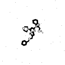 CCc1nc2ccccc2n1-c1cc(N2CCOCC2)n2nc(COCc3ccccc3)cc2n1